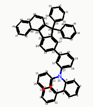 c1ccc(-c2ccccc2N(c2ccccc2)c2cccc(-c3ccc4c(c3)C(c3ccccc3)(c3ccccc3)c3ccc5ccccc5c3-4)c2)cc1